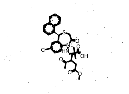 COC(=O)CC(C(C)=O)[C@H](N[N@+]1(CC(C)(C)C)C(=O)CS[C@H](c2cccc3ccccc23)c2cc(Cl)ccc21)C(=O)O